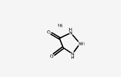 I.O=c1[nH][nH][nH]c1=O